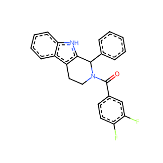 O=C(c1ccc(F)c(F)c1)N1CCc2c([nH]c3ccccc23)C1c1ccccc1